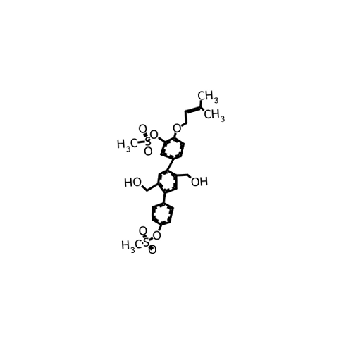 CC(C)=CCOc1ccc(-c2cc(CO)c(-c3ccc(OS(C)(=O)=O)cc3)cc2CO)cc1OS(C)(=O)=O